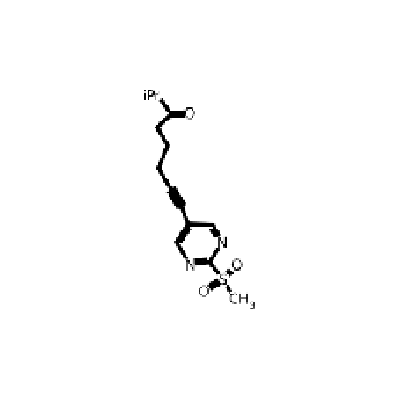 CC(C)C(=O)CCCC#Cc1cnc(S(C)(=O)=O)nc1